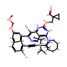 COCOc1cc(-c2ncc3c(N4CCCCCC4)nc(OCC4(C=O)CC4)nc3c2F)c2c(C#C[Si](C(C)C)(C(C)C)C(C)C)c(F)ccc2c1